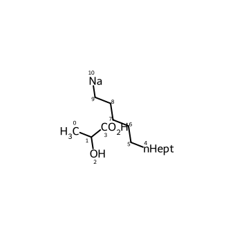 CC(O)C(=O)O.CCCCCCCCCCC[CH2][Na]